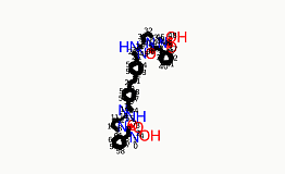 CN(C(=O)O)[C@@H](C(=O)N1CCC[C@H]1c1nc(-c2ccc(CCc3ccc(-c4c[nH]c([C@@H]5CCCN5C(=O)[C@@H](c5ccccc5)N(C)C(=O)O)n4)cc3)cc2)c[nH]1)c1ccccc1